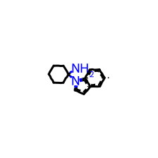 NC1(n2ccc3c[c]ccc32)CCCCC1